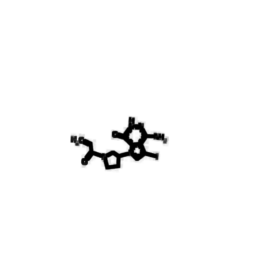 C=CC(=O)N1CCC(n2cc(I)c3c(N)n[nH]c(=O)c32)C1